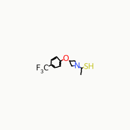 CC(S)N1CC(Oc2ccc(C(F)(F)F)cc2)C1